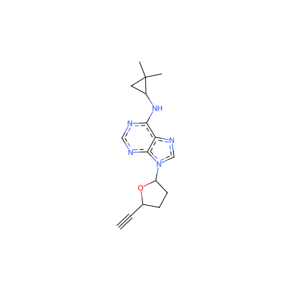 C#CC1CCC(n2cnc3c(NC4CC4(C)C)ncnc32)O1